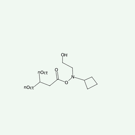 CCCCCCCCC(CCCCCCCC)CC(=O)ON(CCO)C1CCC1